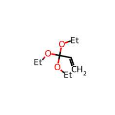 C=CC(OCC)(OCC)OCC